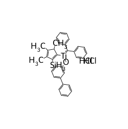 CC1=C(C)C(C)[C]([Ti]([O]c2cccc(-c3ccccc3)c2)=[C](c2ccccc2)c2ccccc2)=C1[SiH3].Cl.Cl